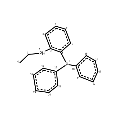 CCPc1ccccc1P(c1ccccc1)c1ccccc1